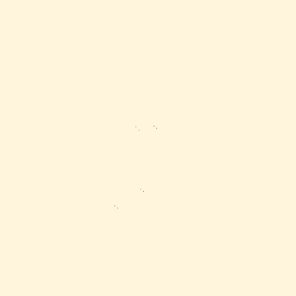 Cc1cc(-c2cc[n+](CCS(=O)(=O)[O-])nc2)nc(C)n1